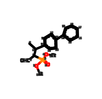 CCOP(=O)(OCC)C(C=O)C(C)c1ccc(-c2ccccc2)cc1